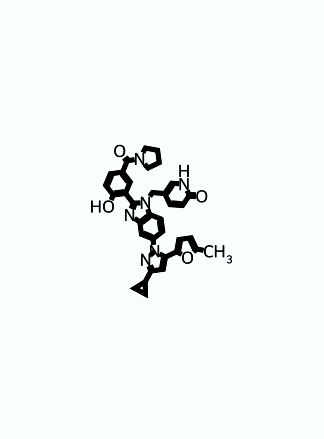 Cc1ccc(-c2cc(C3CC3)nn2-c2ccc3c(c2)nc(-c2cc(C(=O)N4CCCC4)ccc2O)n3Cc2ccc(=O)[nH]c2)o1